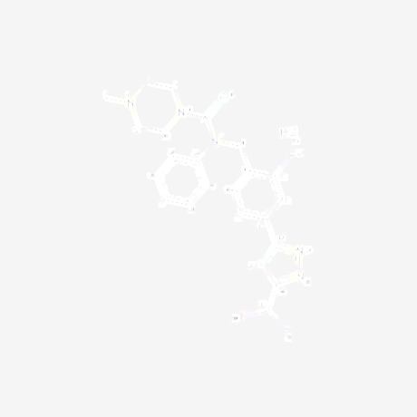 CN1CCN(C(=O)N(Cc2ccc(-c3nnc(C(F)F)o3)cc2F)c2ccccc2)CC1.Cl